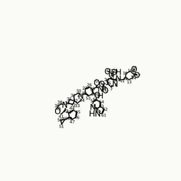 O=C(NS(=O)(=O)c1cnc(NCC2CCS(=O)(=O)CC2)c([N+](=O)[O-])c1)c1ccc(N2CCC3(CC2)CC(N2CCOC[C@H]2c2ccccc2C2CC2)C3)cc1Oc1cnc2[nH]ccc2c1